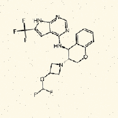 FC(F)OC1CN([C@H]2COc3ccccc3[C@@H]2Nc2ncnc3[nH]c(C(F)(F)F)cc23)C1